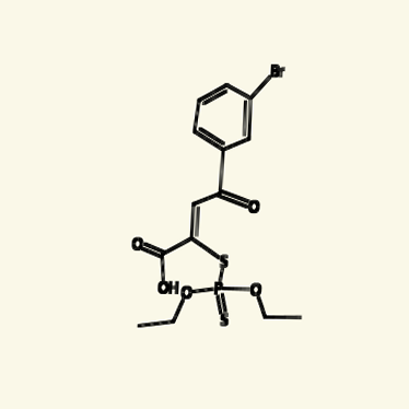 CCOP(=S)(OCC)SC(=CC(=O)c1cccc(Br)c1)C(=O)O